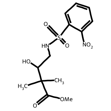 COC(=O)C(C)(C)C(O)CNS(=O)(=O)c1ccccc1[N+](=O)[O-]